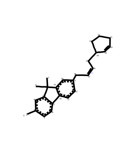 CC1(C)c2cc(I)ccc2-c2ccc(C/C=C\CC3C=CCCC3)cc21